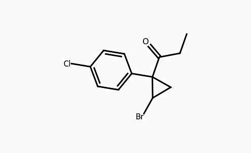 CCC(=O)C1(c2ccc(Cl)cc2)CC1Br